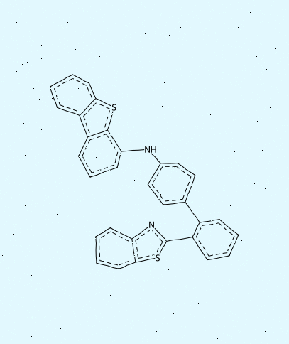 c1ccc(-c2nc3ccccc3s2)c(-c2ccc(Nc3cccc4c3sc3ccccc34)cc2)c1